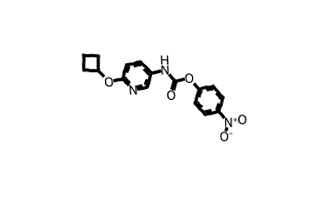 O=C(Nc1ccc(OC2CCC2)nc1)Oc1ccc([N+](=O)[O-])cc1